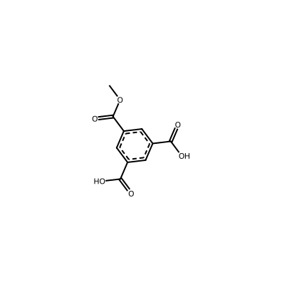 COC(=O)c1cc(C(=O)O)cc(C(=O)O)c1